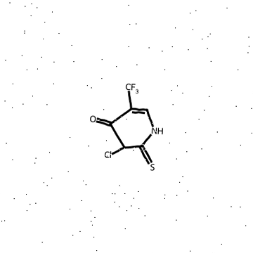 O=C1C(C(F)(F)F)=CNC(=S)C1Cl